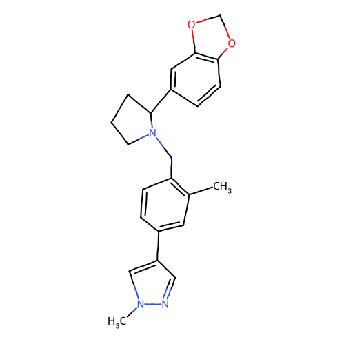 Cc1cc(-c2cnn(C)c2)ccc1CN1CCCC1c1ccc2c(c1)OCO2